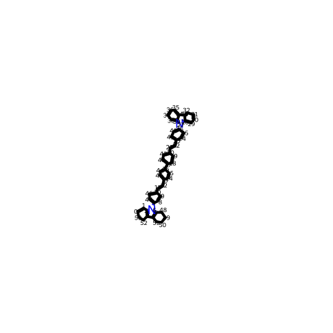 C1=Cc2c(c3c(n2-c2ccc(/C=C/c4ccc(-c5ccc(/C=C/c6ccc(-n7c8ccccc8c8ccccc87)cc6)cc5)cc4)cc2)CCCC3)CC1